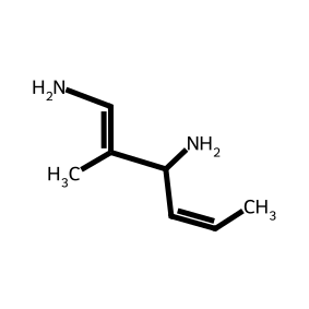 C/C=C\C(N)/C(C)=C/N